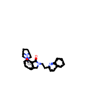 CN1CC2CCC(C1)N2c1cccc2c1C(=O)N(CCc1ccc3ccccc3n1)C2